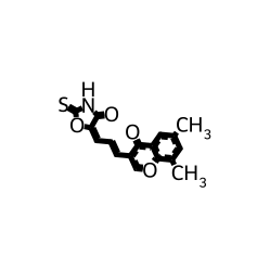 Cc1cc(C)c2occ(C=CC=C3OC(=S)NC3=O)c(=O)c2c1